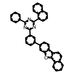 c1ccc(-c2nc(-c3cccc(-c4ccc5c(c4)oc4c6ccccc6ccc54)c3)nc(-c3cccc4ccccc34)n2)cc1